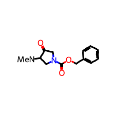 CNC1CN(C(=O)OCc2ccccc2)CC1=O